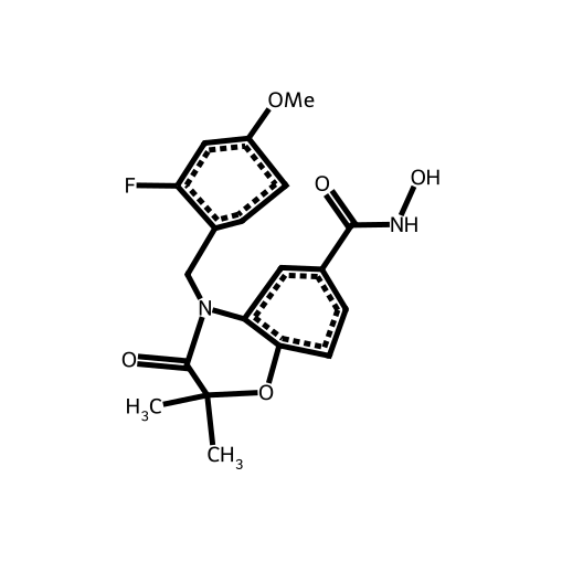 COc1ccc(CN2C(=O)C(C)(C)Oc3ccc(C(=O)NO)cc32)c(F)c1